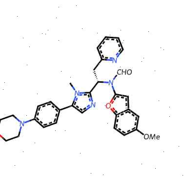 COc1ccc2oc(N(C=O)[C@@H](Cc3ccccn3)c3ncc(-c4ccc(N5CCOCC5)cc4)n3C)cc2c1